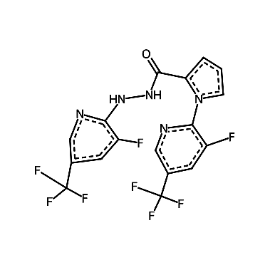 O=C(NNc1ncc(C(F)(F)F)cc1F)c1cccn1-c1ncc(C(F)(F)F)cc1F